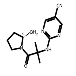 B[C@H]1CCCN1C(=O)C(C)(C)Nc1ncc(C#N)cn1